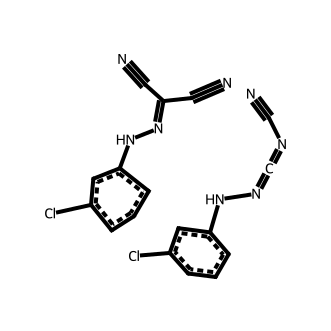 N#CC(C#N)=NNc1cccc(Cl)c1.N#CN=C=NNc1cccc(Cl)c1